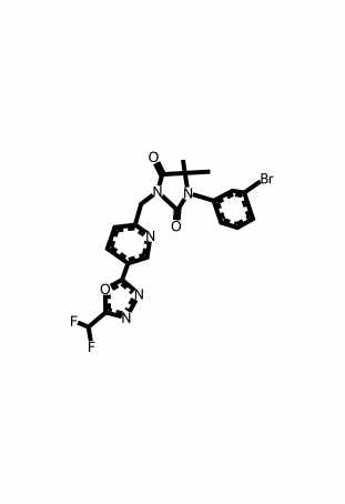 CC1(C)C(=O)N(Cc2ccc(-c3nnc(C(F)F)o3)cn2)C(=O)N1c1cccc(Br)c1